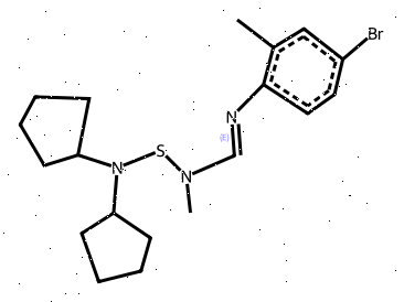 Cc1cc(Br)ccc1/N=C/N(C)SN(C1CCCC1)C1CCCC1